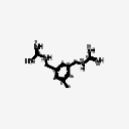 Cc1cc(CNC(=N)S)cc(CNC(=N)S)c1